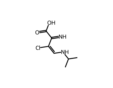 CC(C)N/C=C(/Cl)C(=N)C(=O)O